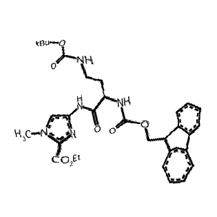 CCOC(=O)c1nc(NC(=O)[C@@H](CCNC(=O)OC(C)(C)C)NC(=O)OCC2c3ccccc3-c3ccccc32)cn1C